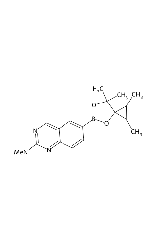 CNc1ncc2cc(B3OC(C)(C)C4(O3)C(C)C4C)ccc2n1